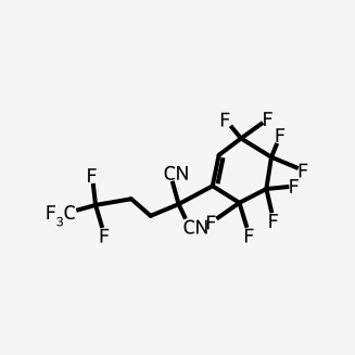 N#CC(C#N)(CCC(F)(F)C(F)(F)F)C1=CC(F)(F)C(F)(F)C(F)(F)C1(F)F